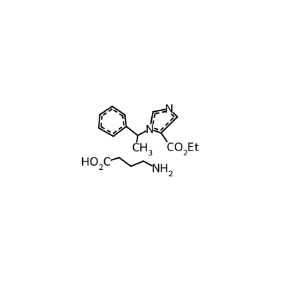 CCOC(=O)c1cncn1C(C)c1ccccc1.NCCCC(=O)O